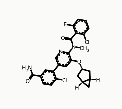 CN(C(=O)c1c(F)cccc1Cl)c1ncc(-c2cc(C(N)=O)ccc2Cl)cc1O[C@H]1C[C@@H]2C[C@@H]2C1